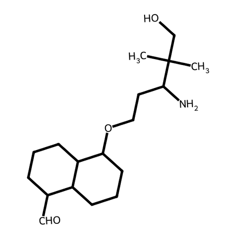 CC(C)(CO)C(N)CCOC1CCCC2C(C=O)CCCC12